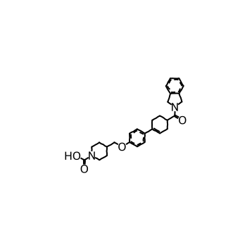 O=C(O)N1CCC(COc2ccc(C3=CCC(C(=O)N4Cc5ccccc5C4)CC3)cc2)CC1